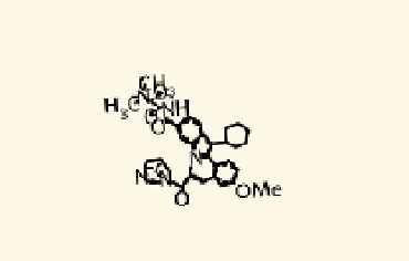 COc1ccc2c(c1)C=C(C(=O)N1CCN3CCC1CC3)Cn1c-2c(C2CCCCC2)c2ccc(C(=O)NS(=O)(=O)N(C)C)cc21